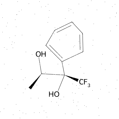 C[C@@H](O)[C@@](O)(c1ccccc1)C(F)(F)F